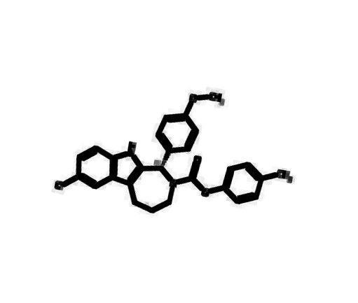 COc1ccc([C@H]2c3[nH]c4ccc(Cl)cc4c3CCCN2C(=O)Oc2ccc(C)cc2)cc1